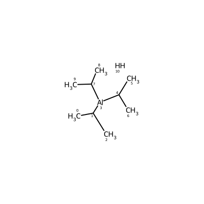 C[CH](C)[Al]([CH](C)C)[CH](C)C.[HH]